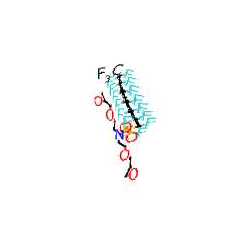 O=S(=O)(N(CCOCC1CO1)CCOCC1CO1)C(F)(F)C(F)(F)C(F)(F)C(F)(F)C(F)(F)C(F)(F)C(F)(F)C(F)(F)F